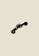 O=C(COCCN1CCCCCC1)CC(=O)OCCCc1ccccc1